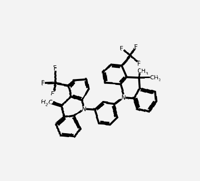 C=C1c2ccccc2N(c2cccc(N3c4ccccc4C(C)(C)c4c3cccc4C(F)(F)F)c2)c2cccc(C(F)(F)F)c21